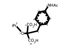 CC(=O)Nc1ccc(CC(OC(C)C)(C(=O)O)C(=O)O)cc1